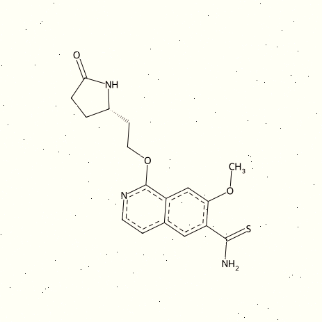 COc1cc2c(OCC[C@@H]3CCC(=O)N3)nccc2cc1C(N)=S